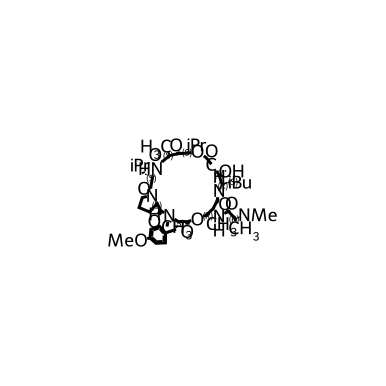 CC[C@H](C)[C@H]1NC(=O)C(NC(=O)[C@@H](C)NC)[C@@H](C)OC(=O)[C@H](Cc2ccc(OC)cc2)N(C)C(=O)[C@@H]2CCCN2C(=O)[C@H](CC(C)C)NC(=O)[C@@H](C)C(=O)[C@H](C(C)C)OC(=O)C[C@@H]1O